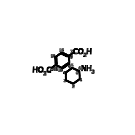 C1CCCCC1.N.O=C(O)c1ccc(C(=O)O)cc1